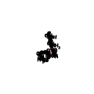 CN(C)c1nc2c(nc1C#N)C(=O)c1ccccc1-2.COCCOc1nc2c(nc1C#N)C(=O)c1ccccc1-2.N#Cc1nc2c(nc1N)-c1ccccc1C2=O.N#Cc1nc2c(nc1N1CCC(F)(F)CC1)-c1ccccc1C2=O.N#Cc1nc2c(nc1O)-c1ccccc1C2=O